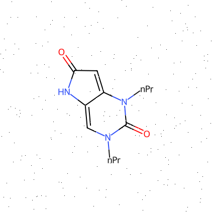 CCCn1cc2[nH]c(=O)cc-2n(CCC)c1=O